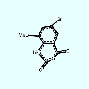 COc1cc(Br)cc2c(=O)oc(=O)[nH]c12